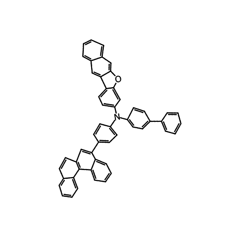 c1ccc(-c2ccc(N(c3ccc(-c4cc5ccc6ccccc6c5c5ccccc45)cc3)c3ccc4c(c3)oc3cc5ccccc5cc34)cc2)cc1